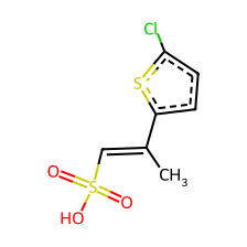 C/C(=C\S(=O)(=O)O)c1ccc(Cl)s1